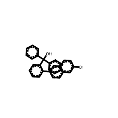 OC(c1ccccc1)(c1ccccc1)c1ccccc1-c1ccc2cc(Br)ccc2c1